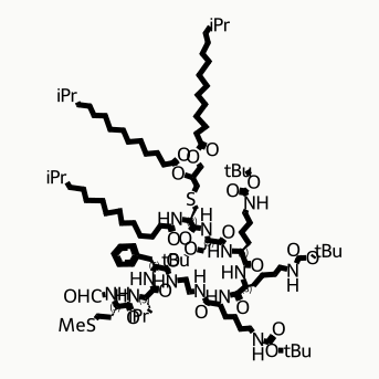 CSCC[C@H](NC=O)C(=O)N[C@@H](CC(C)C)C(=O)N[C@@H](Cc1ccccc1)C(=O)NCCNC(=O)C(CCCCNC(=O)OC(C)(C)C)NC(=O)[C@H](CCCCNC(=O)OC(C)(C)C)NC(=O)[C@H](CCCCNC(=O)OC(C)(C)C)NC(=O)[C@H](COC(C)(C)C)NC(=O)[C@H](CSCC(COC(=O)CCCCCCCCCCCC(C)C)OC(=O)CCCCCCCCCCCC(C)C)NC(=O)CCCCCCCCCCCC(C)C